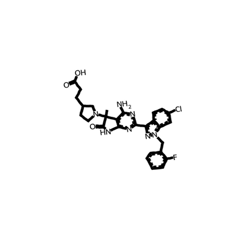 CC1(N2CCC(CCC(=O)O)C2)C(=O)Nc2nc(-c3nn(Cc4ccccc4F)c4cc(Cl)ccc34)nc(N)c21